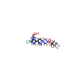 CC(C)(C)OC(=O)N1CCN(c2ccc(-c3cnc(Cl)c4nc(CO)cn34)cn2)CC1